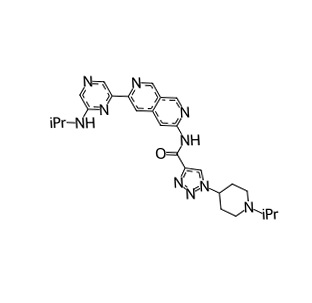 CC(C)Nc1cncc(-c2cc3cc(NC(=O)c4cn(C5CCN(C(C)C)CC5)nn4)ncc3cn2)n1